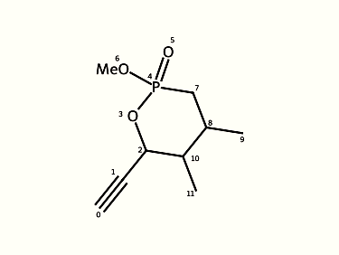 C#CC1OP(=O)(OC)CC(C)C1C